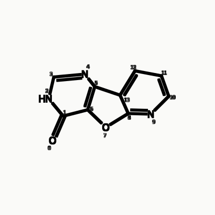 O=c1[nH]cnc2c1oc1ncccc12